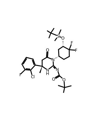 CC(C)(C)OC(=O)/N=C1\N[C@](C)(c2cccc(I)c2Cl)CC(=O)N1[C@H]1CCC(F)(F)[C@@H](O[Si](C)(C)C(C)(C)C)C1